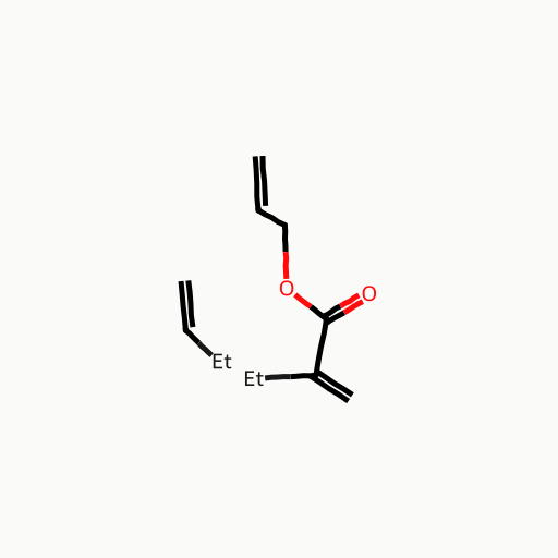 C=CCC.C=CCOC(=O)C(=C)CC